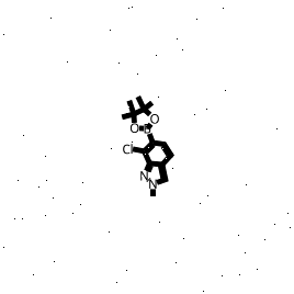 Cn1cc2ccc(B3OC(C)(C)C(C)(C)O3)c(Cl)c2n1